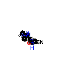 Cc1cccc(-c2nnc([C@H]3C[C@H](n4c(=O)[nH]c5cc(C#N)ccc54)C3)n2-c2ccccc2Cl)n1